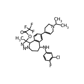 CC(C)N1CC=C(c2ccc3c(c2)C(Nc2ccc(F)c(Cl)c2)CCN2N=NC(C)(OC(=O)C(F)(F)F)C32)CC1